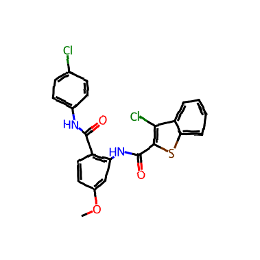 COc1ccc(C(=O)Nc2ccc(Cl)cc2)c(NC(=O)c2sc3ccccc3c2Cl)c1